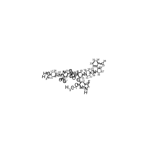 CCOc1nc2[nH]cc(F)c2cc1Oc1cc(N2CCC3(CC2)CN([C@H]2CCC[C@H]2c2ccccc2C2CC2)C3)ccc1C(=O)NS(=O)(=O)c1cnc(NC[C@H]2CC[C@](C)(O)CC2)c([N+](=O)[O-])c1